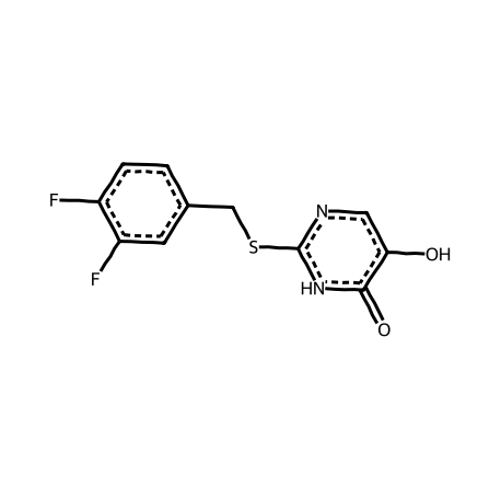 O=c1[nH]c(SCc2ccc(F)c(F)c2)ncc1O